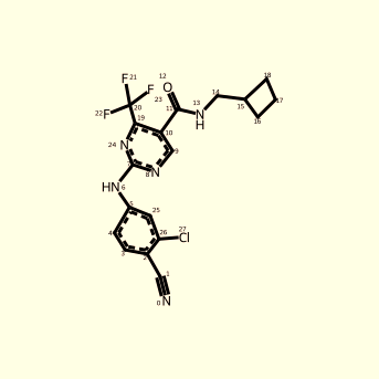 N#Cc1ccc(Nc2ncc(C(=O)NCC3CCC3)c(C(F)(F)F)n2)cc1Cl